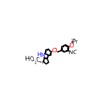 [C-]#[N+]c1cc(COc2ccc3[nH]c4c(c3c2)CC[C@@H]4CC(=O)O)ccc1OC(C)C